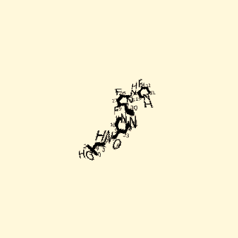 CC(C)(O)CCNC(=O)c1ccn2c(-c3nc(N[C@H]4CNCC[C@@H]4F)c(F)cc3F)cnc2c1